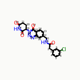 O=C(Cc1cccc(Cl)c1)NCc1ccc2c(=O)n(C3CCC(=O)NC3=O)nnc2c1